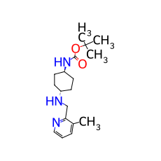 Cc1cccnc1CN[C@H]1CC[C@H](NC(=O)OC(C)(C)C)CC1